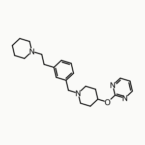 c1cnc(OC2CCN(Cc3cccc(CCN4CCCCC4)c3)CC2)nc1